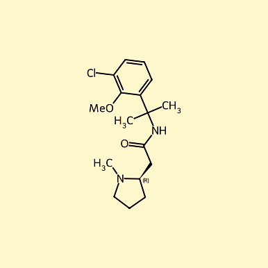 COc1c(Cl)cccc1C(C)(C)NC(=O)C[C@H]1CCCN1C